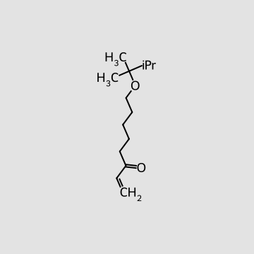 C=CC(=O)CCCCCOC(C)(C)C(C)C